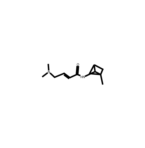 CN(C)C/C=C/C(=O)NC1C2CC1(C)C2